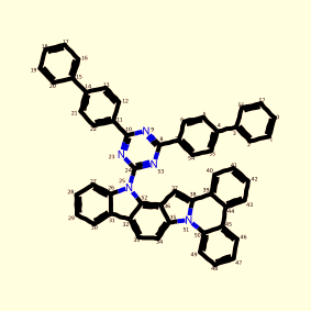 c1ccc(-c2ccc(-c3nc(-c4ccc(-c5ccccc5)cc4)nc(-n4c5ccccc5c5ccc6c(cc7c8ccccc8c8ccccc8n76)c54)n3)cc2)cc1